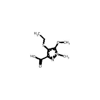 CCSc1c(C(=O)O)nn(C)c1OC